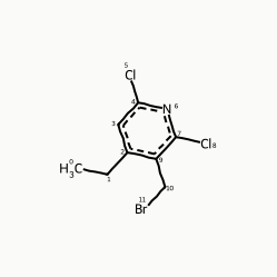 CCc1cc(Cl)nc(Cl)c1CBr